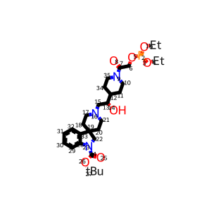 CCOP(OCC)OCC(=O)N1CCC(C(O)CN2CCC3(CC2)CN(C(=O)OC(C)(C)C)c2ccccc23)CC1